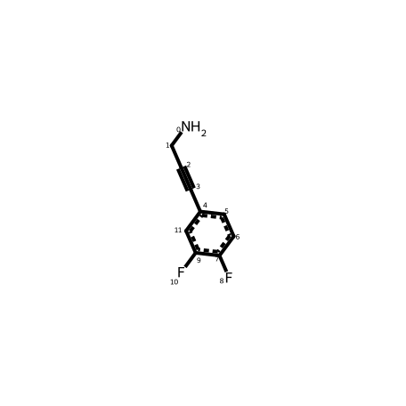 NCC#Cc1ccc(F)c(F)c1